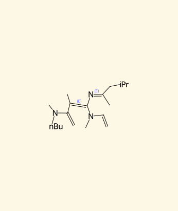 C=CN(C)C(/N=C(\C)CC(C)C)=C(/C)C(=C)N(C)CCCC